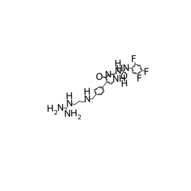 NC(N)NCCCNCc1ccc(-c2c[nH]c(NC(O)Nc3cc(F)c(F)cc3F)nc2=O)cc1